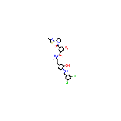 COc1cc(C(=O)N[C@@H](C)CCc2ccc(NCc3cc(Cl)cc(Cl)c3)c(O)c2)cc(C(=O)N2CCC[C@@H]2c2nc(C)cs2)c1